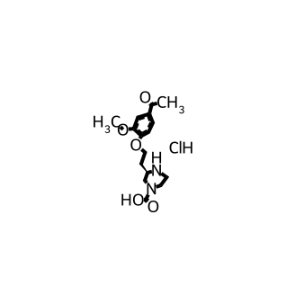 COc1cc(C(C)=O)ccc1OCC[C@@H]1CN(C(=O)O)CCN1.Cl